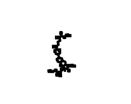 CC(C)(C)OC(=O)NCCCNc1ncc(-c2ccc3c(c2)CCC(C(C)(ONC(=O)OC(C)(C)C)C(=O)OC(C)(C)C)O3)cn1